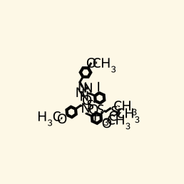 COc1ccc(CN(Cc2ccc(OC)cc2)S(=O)(=O)c2c(SCC[Si](C)(C)C)ccc(I)c2-c2nnn(Cc3ccc(OC)cc3)n2)cc1